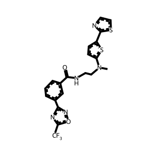 CN(CCNC(=O)c1cccc(-c2noc(C(F)(F)F)n2)c1)c1ccc(-c2nccs2)s1